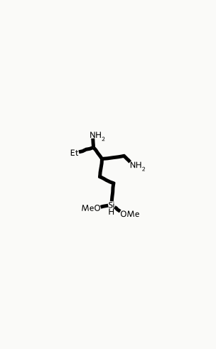 CCC(N)C(CN)CC[SiH](OC)OC